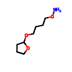 NOCCCCOC1CCCO1